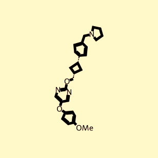 COc1ccc(Oc2cnc(OC[C@H]3C[C@@H](c4ccc(CN5CCCC5)cc4)C3)nc2)cc1